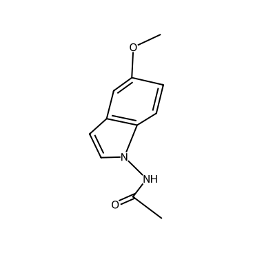 COc1ccc2c(ccn2NC(C)=O)c1